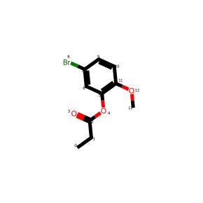 CCC(=O)Oc1cc(Br)ccc1OC